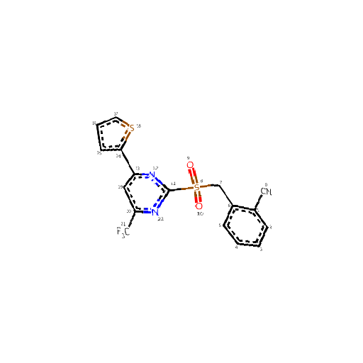 N#Cc1ccccc1CS(=O)(=O)c1nc(-c2cccs2)cc(C(F)(F)F)n1